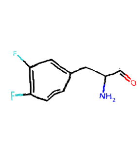 NC([C]=O)Cc1ccc(F)c(F)c1